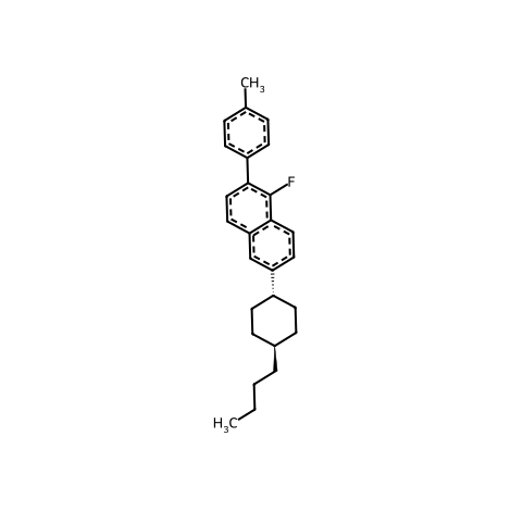 CCCC[C@H]1CC[C@H](c2ccc3c(F)c(-c4ccc(C)cc4)ccc3c2)CC1